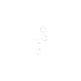 C[C@H](NC(=O)Nc1cccc(Cl)c1)c1ncnn1-c1ncccn1